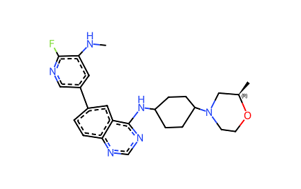 CNc1cc(-c2ccc3ncnc(NC4CCC(N5CCO[C@H](C)C5)CC4)c3c2)cnc1F